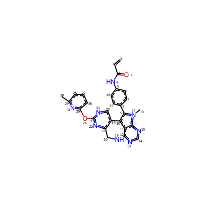 C=CC(=O)Nc1ccc(-c2c3c4c(ncnc4n2C)NCc2nc(Oc4cccc(C)n4)ncc2-3)cc1